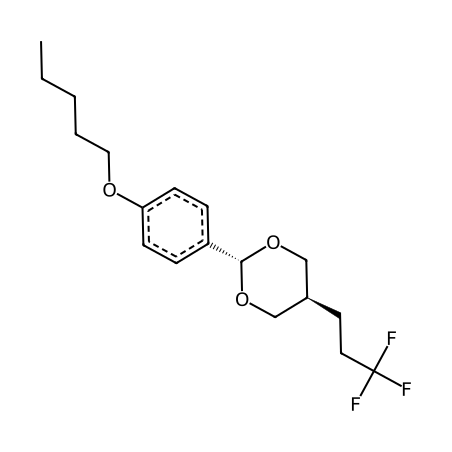 CCCCCOc1ccc([C@H]2OC[C@H](CCC(F)(F)F)CO2)cc1